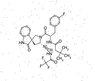 C#[N+][C@@H]1C[C@@]2(CN1C(=O)C(Cc1cccc(F)c1)NC(=O)[C@@H](NC(=O)C(F)(F)F)C(C)(C)C)C(=O)Nc1ccccc12